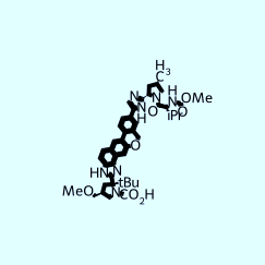 COC[C@@H]1CN(C(=O)O)[C@](c2nc3c(ccc4cc5c(cc43)OCc3cc(-c4cnc([C@@H]6C[C@H](C)CN6C(=O)[C@@H](NC(=O)OC)C(C)C)[nH]4)ccc3-5)[nH]2)(C(C)(C)C)C1